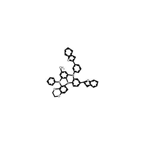 Cc1cc2c3c(c1)N(c1ccccc1)c1c(ccc4c1OCCO4)B3c1ccc(-c3cc4ccccc4o3)cc1N2c1cccc(-c2cc3ccccc3o2)c1